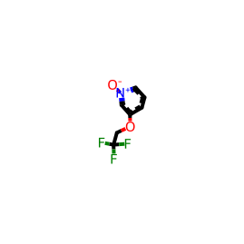 [O-][n+]1cccc(OCC(F)(F)F)c1